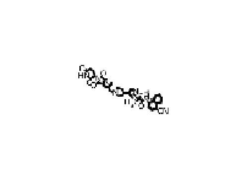 CC(C)(C(=O)Nc1ccc(C#N)c2ccccc12)n1cc(C2CCN(Cc3ccc4c(c3)C(=O)N(C3CCC(=O)NC3=O)C4=O)CC2)cn1